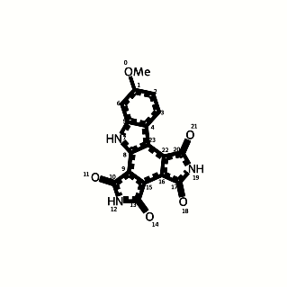 COc1ccc2c(c1)[nH]c1c3c(=O)[nH]c(=O)c3c3c(=O)[nH]c(=O)c3c21